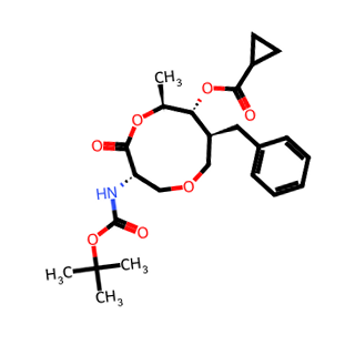 C[C@@H]1OC(=O)[C@@H](NC(=O)OC(C)(C)C)COC[C@H](Cc2ccccc2)[C@H]1OC(=O)C1CC1